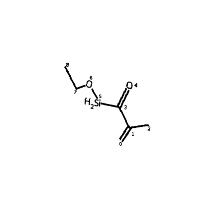 C=C(C)C(=O)[SiH2]OCC